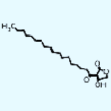 CCCCCC=CCC=CCCCCCCCC(=O)C1=C(O)COC1=O